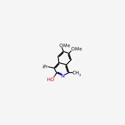 COc1cc2c(C)nc(O)c(C(C)C)c2cc1OC